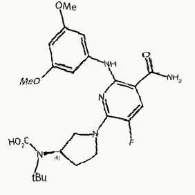 COc1cc(Nc2nc(N3CC[C@@H](N(C(=O)O)C(C)(C)C)C3)c(F)cc2C(N)=O)cc(OC)c1